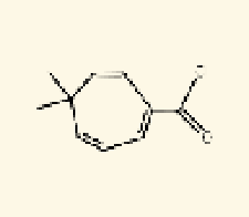 CC1(C)C=CC=C(C(=O)Cl)C=C1